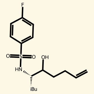 C=CCCC(O)[C@@H](NS(=O)(=O)c1ccc(F)cc1)[C@@H](C)CC